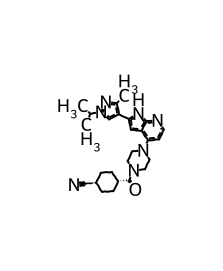 Cc1nn(C(C)C)cc1-c1cc2c(N3CCN(C(=O)[C@H]4CC[C@H](C#N)CC4)CC3)ccnc2[nH]1